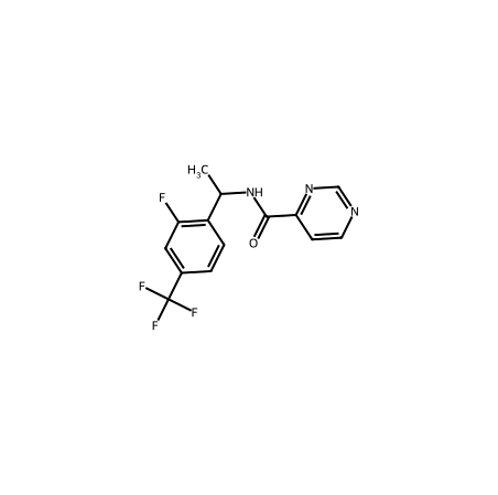 CC(NC(=O)c1ccncn1)c1ccc(C(F)(F)F)cc1F